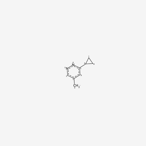 [CH2]c1cnnc(C2CC2)c1